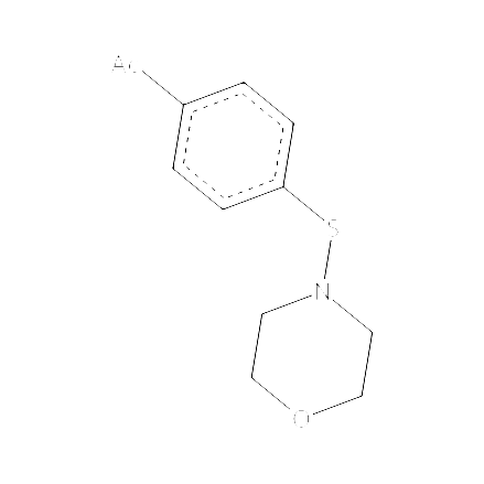 CC(=O)c1ccc(SN2CCOCC2)cc1